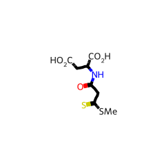 CSC(=S)CC(=O)NC(CC(=O)O)C(=O)O